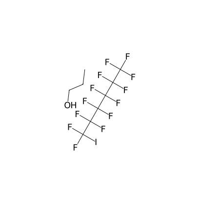 CCCO.FC(F)(F)C(F)(F)C(F)(F)C(F)(F)C(F)(F)C(F)(F)I